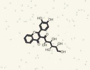 O=C(c1c(-c2ccc(O)c(O)c2)oc2ccccc2c1=O)[C@H](O)[C@@H](O)[C@H](O)[C@H](O)CO